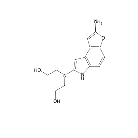 Nc1cc2c(ccc3[nH]c(N(CCO)CCO)cc32)o1